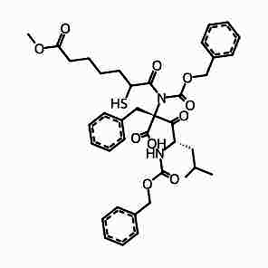 COC(=O)CCCCC(S)C(=O)N(C(=O)OCc1ccccc1)[C@@](Cc1ccccc1)(C(=O)O)C(=O)[C@H](CC(C)C)NC(=O)OCc1ccccc1